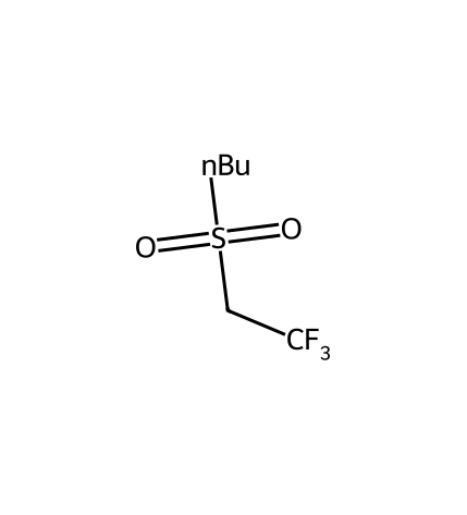 CCCCS(=O)(=O)CC(F)(F)F